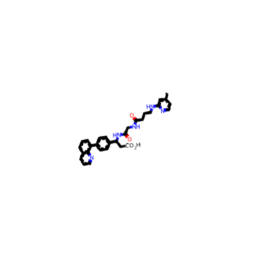 Cc1ccnc(NCCCC(=O)NCC(=O)NC(CC(=O)O)c2ccc(-c3cccc4cccnc34)cc2)c1